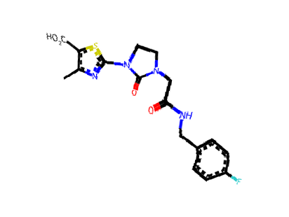 Cc1nc(N2CCN(CC(=O)NCc3ccc(F)cc3)C2=O)sc1C(=O)O